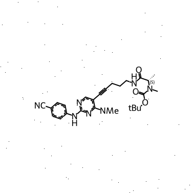 CNc1nc(Nc2ccc(C#N)cc2)ncc1C#CCCCNC(=O)[C@H](C)N(C)C(=O)OC(C)(C)C